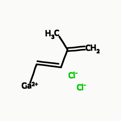 C=C(C)C=[CH][Ga+2].[Cl-].[Cl-]